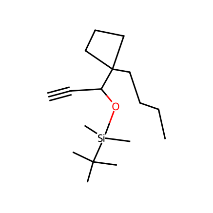 C#CC(O[Si](C)(C)C(C)(C)C)C1(CCCC)CCC1